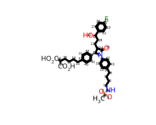 CS(=O)(=O)NCCCCc1ccc(N2C(=O)C(CC[C@H](O)c3ccc(F)cc3)[C@H]2c2ccc(CCCCC(C(=O)O)C(=O)O)cc2)cc1